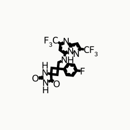 O=C1NC(=O)C2(CC(CNc3cc(C(F)(F)F)nc4cc(C(F)(F)F)nn34)(c3ccc(F)cc3)C2)N1